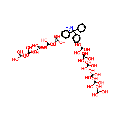 NC(c1ccccc1)(c1ccccc1)c1ccccc1.OB(O)O.OB(O)O.OB(O)O.OB(O)O.OB(O)O.OB(O)O.OB(O)O.OB(O)O.OB(O)O.OB(O)O.OB(O)O